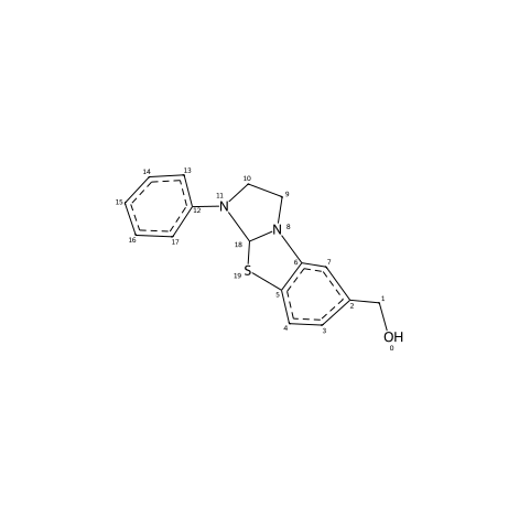 OCc1ccc2c(c1)N1CCN(c3ccccc3)C1S2